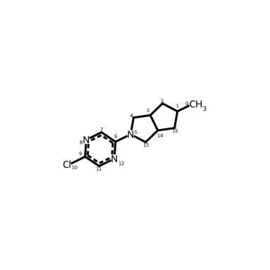 CC1CC2CN(c3cnc(Cl)cn3)CC2C1